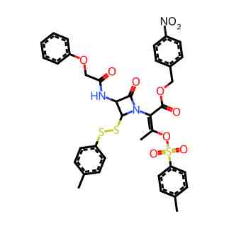 C/C(OS(=O)(=O)c1ccc(C)cc1)=C(/C(=O)OCc1ccc([N+](=O)[O-])cc1)N1C(=O)C(NC(=O)COc2ccccc2)C1SSc1ccc(C)cc1